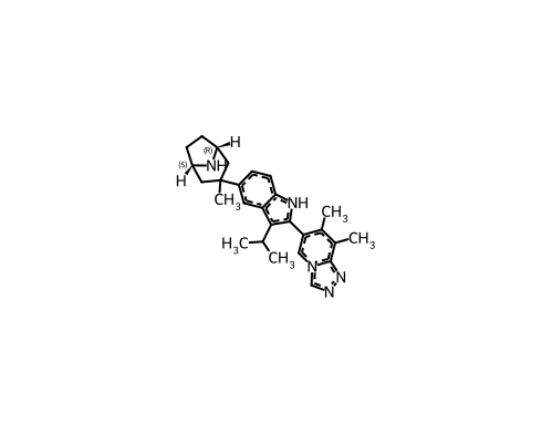 Cc1c(-c2[nH]c3ccc(C4(C)C[C@H]5CC[C@@H](C4)N5)cc3c2C(C)C)cn2cnnc2c1C